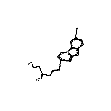 CCCC(CCS)CCCc1ccn2c(c1)cc1ccc(C)cc12